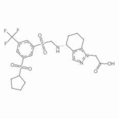 O=C(O)Cn1ncc2c1CCC[C@H]2NCS(=O)(=O)c1cc(C(F)(F)F)cc(S(=O)(=O)C2CCCC2)c1